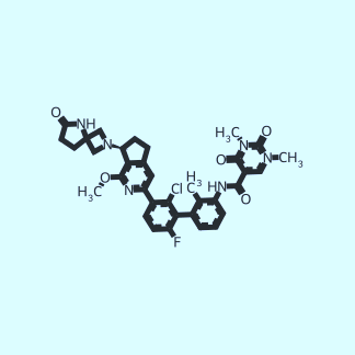 COc1nc(-c2ccc(F)c(-c3cccc(NC(=O)c4cn(C)c(=O)n(C)c4=O)c3C)c2Cl)cc2c1[C@@H](N1CC3(CCC(=O)N3)C1)CC2